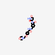 O=C(Cc1ccc(OCCN2CCOCC2)cc1)NCc1ccc2c(c1)CN(C1CCC(=O)NC1=O)C2=O